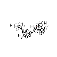 C=C(C)C(=O)OCCNC(=O)C(C(C)=O)C(=O)OCCOC(=O)C(C)(CC)C1C(=O)OC(=O)C1C(CC)N1CCCC1=O